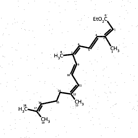 CCOC(=O)C=C(C)C=CC=C(C)C=CC=C(C)CCC=C(C)C